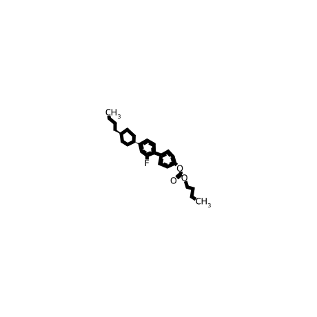 CCCCOC(=O)Oc1ccc(-c2ccc([C@H]3CC[C@H](CCCC)CC3)cc2F)cc1